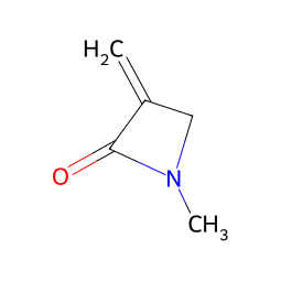 C=C1CN(C)C1=O